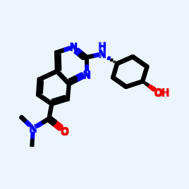 CN(C)C(=O)c1ccc2cnc(N[C@H]3CC[C@H](O)CC3)nc2c1